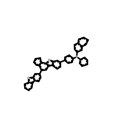 c1ccc(N(c2ccc(-c3ccc4c(c3)oc3c5ccccc5c(-c5ccc6c(c5)oc5ccccc56)cc43)cc2)c2ccc3ccccc3c2)cc1